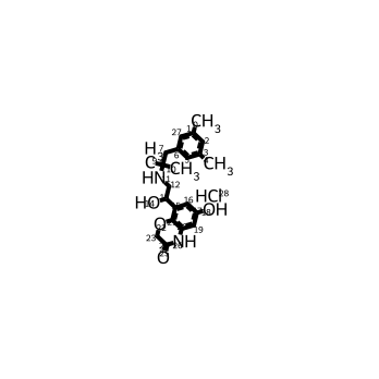 Cc1cc(C)cc(CC(C)(C)NCC(O)c2cc(O)cc3c2OCC(=O)N3)c1.Cl